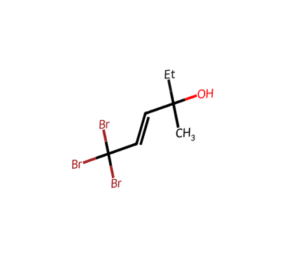 CCC(C)(O)C=CC(Br)(Br)Br